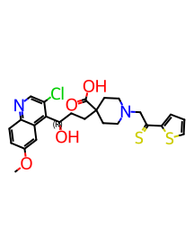 COc1ccc2ncc(Cl)c([C@H](O)CCC3(C(=O)O)CCN(CC(=S)c4cccs4)CC3)c2c1